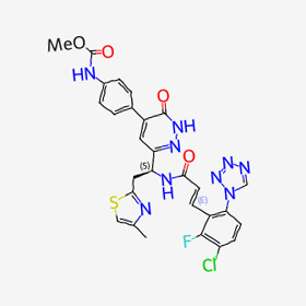 COC(=O)Nc1ccc(-c2cc([C@H](Cc3nc(C)cs3)NC(=O)/C=C/c3c(-n4cnnn4)ccc(Cl)c3F)n[nH]c2=O)cc1